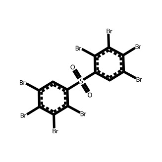 O=S(=O)(c1cc(Br)c(Br)c(Br)c1Br)c1cc(Br)c(Br)c(Br)c1Br